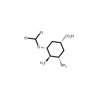 CCOC(=O)[C@@H]1C[C@H](N)[C@@H](C)[C@H](OC(CC)CC)C1